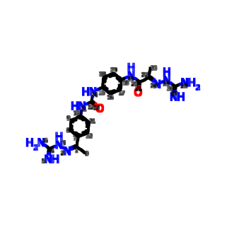 C/C(=N/NC(=N)N)c1ccc(NC(=O)Nc2ccc(NC(=O)/C(C)=N/NC(=N)N)cc2)cc1